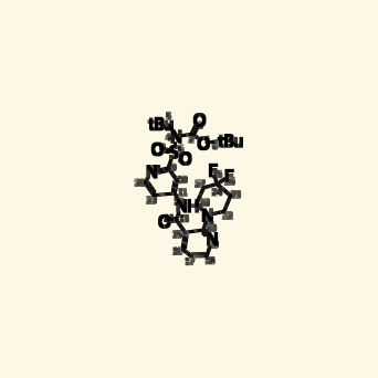 CC(C)(C)OC(=O)N(C(C)(C)C)S(=O)(=O)c1cc(NC(=O)c2cccnc2N2CCC(F)(F)CC2)ccn1